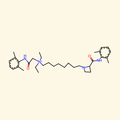 CC[N+](CC)(CCCCCCCCN1CCC1C(=O)Nc1c(C)cccc1C)CC(=O)Nc1c(C)cccc1C